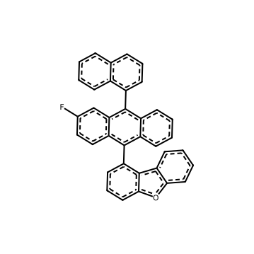 Fc1ccc2c(-c3cccc4oc5ccccc5c34)c3ccccc3c(-c3cccc4ccccc34)c2c1